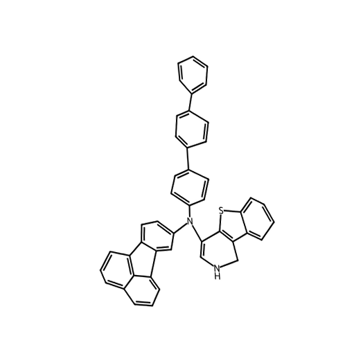 C1=C(N(c2ccc(-c3ccc(-c4ccccc4)cc3)cc2)c2ccc3c(c2)-c2cccc4cccc-3c24)c2sc3ccccc3c2CN1